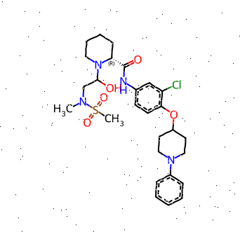 CN(CC(O)N1CCCC[C@@H]1C(=O)Nc1ccc(OC2CCN(c3ccccc3)CC2)c(Cl)c1)S(C)(=O)=O